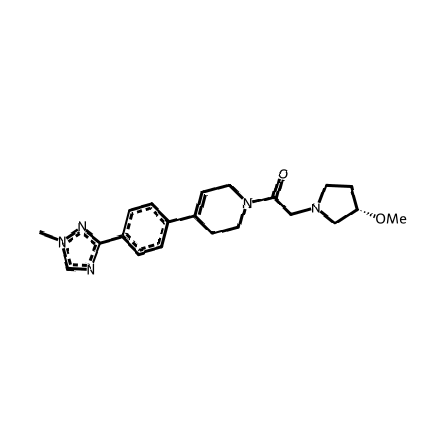 CO[C@H]1CCN(CC(=O)N2CC=C(c3ccc(-c4ncn(C)n4)cc3)CC2)C1